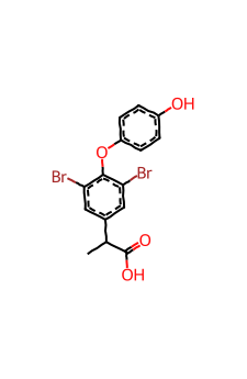 CC(C(=O)O)c1cc(Br)c(Oc2ccc(O)cc2)c(Br)c1